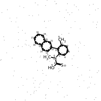 Cc1cccc(N(C)C(O)=S)c1-c1ccc2ccccc2c1